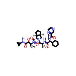 CCCC(NC(=O)[C@@H]1[C@H]2CCC[C@H]2CN1C(=O)[C@@H](NC(=O)C(NC(=O)c1cnccn1)C1CCCCC1)C(C)(C)C)C(=O)C(=O)NC1CC1